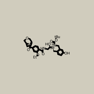 CCOc1cc(C(=O)N2C3CCC2COC3)ccc1C(=O)NC[C@@H](O)[Si@@H]1Cc2ccc(O)cc2CN1C(=O)OC(C)(C)C